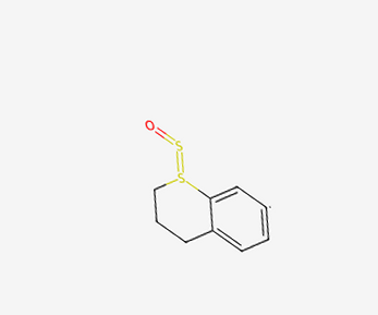 O=S=S1CCCc2cc[c]cc21